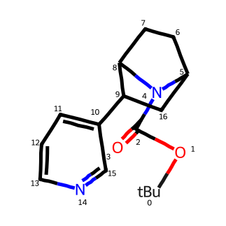 CC(C)(C)OC(=O)N1C2CCC1C(c1cccnc1)C2